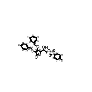 Cc1ccc(S(=O)(=O)OC[C@H](O)[C@H]2OC(=O)C(OCc3ccccc3)=C2OCc2ccccc2)cc1